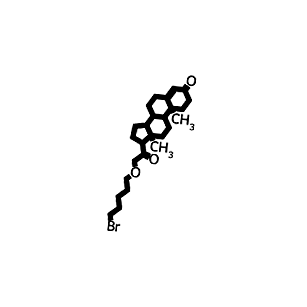 CC12CCC(=O)C=C1CCC1C2CCC2(C)C(C(=O)COCCCCCBr)CCC12